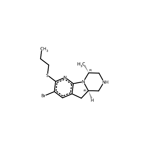 CCCSc1nc2c(cc1Br)C[C@@H]1CNC[C@@H](C)N21